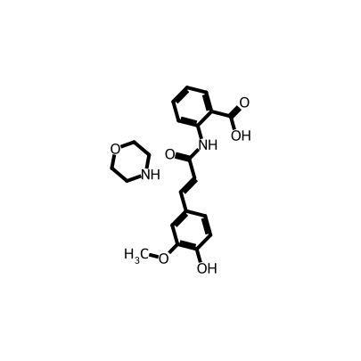 C1COCCN1.COc1cc(C=CC(=O)Nc2ccccc2C(=O)O)ccc1O